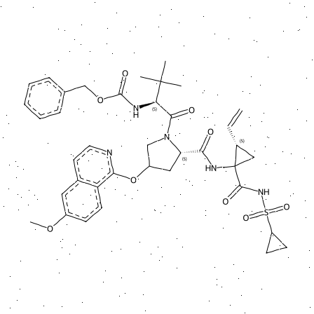 C=C[C@@H]1CC1(NC(=O)[C@@H]1CC(Oc2nccc3cc(OC)ccc23)CN1C(=O)[C@@H](NC(=O)OCc1ccccc1)C(C)(C)C)C(=O)NS(=O)(=O)C1CC1